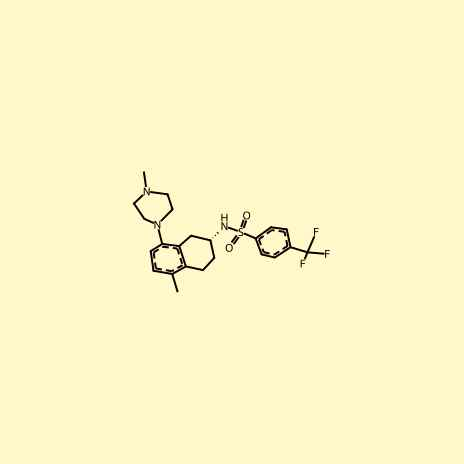 Cc1ccc(N2CCN(C)CC2)c2c1CC[C@@H](NS(=O)(=O)c1ccc(C(F)(F)F)cc1)C2